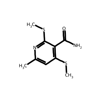 CSc1cc(C)nc(SC)c1C(N)=O